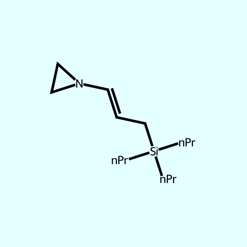 CCC[Si](CC=CN1CC1)(CCC)CCC